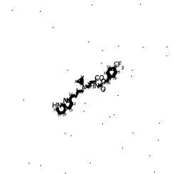 O=C(NC(CCN(CCCCc1ccc2c(n1)NCCC2)C1CC1)C(=O)O)OCc1ccc(C(F)(F)F)cc1